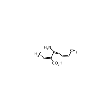 C\C=C/C=C(N)\C(=C/C)C(=O)O